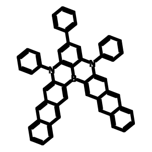 c1ccc(-c2cc3c4c(c2)N(c2ccccc2)c2cc5cc6ccccc6cc5cc2B4c2cc4cc5ccccc5cc4cc2N3c2ccccc2)cc1